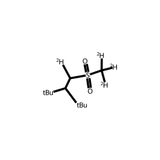 [2H]C(C(C(C)(C)C)C(C)(C)C)S(=O)(=O)C([2H])([2H])[2H]